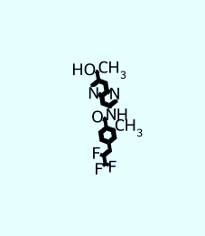 Cc1cc(C=C(F)C(F)F)ccc1C(=O)Nc1cnc2cc(C(C)O)cnc2c1